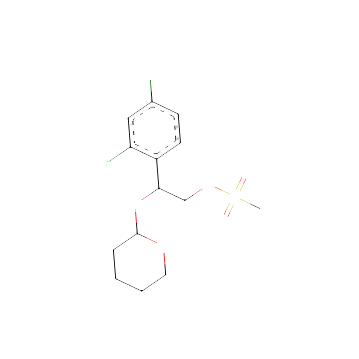 CS(=O)(=O)OCC(OC1CCCCO1)c1ccc(Cl)cc1Cl